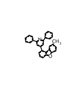 Cc1ccc2oc3cccc(-c4cc(-c5ccccc5)nc(-c5ccccc5)c4)c3c2c1